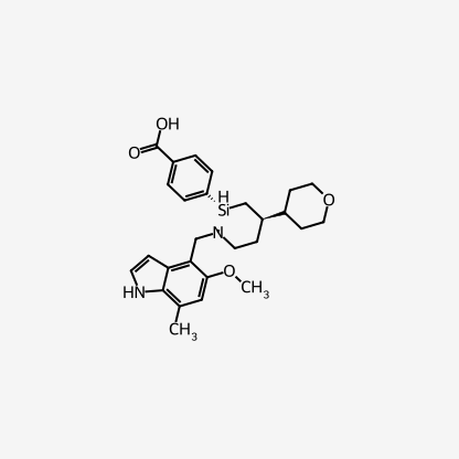 COc1cc(C)c2[nH]ccc2c1CN1CC[C@H](C2CCOCC2)C[Si@H]1c1ccc(C(=O)O)cc1